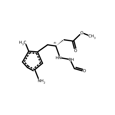 COC(=O)C[C@@H](Cc1cc(N)ccc1C)NBC=O